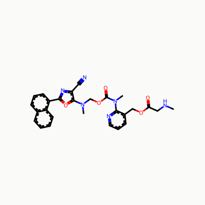 CNCC(=O)OCc1cccnc1N(C)C(=O)OCN(C)c1oc(-c2cccc3ccccc23)nc1C#N